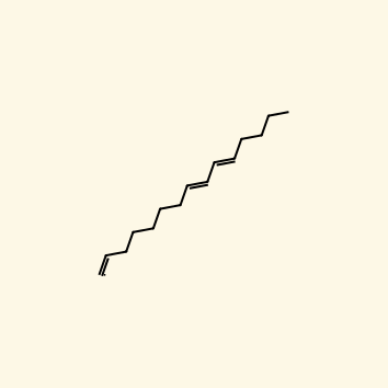 [CH]=CCCCCCC=CC=CCCCC